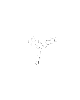 CC(C)(C)C(=O)N(C(=O)[C@@H]1CCCN1)[C@H](Cc1ccc2ccccc2c1)C(=O)NCCCNCc1cccs1.Cl